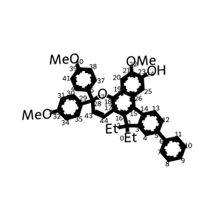 CCC1(CC)c2cc(-c3ccccc3)ccc2-c2c1c1c(c3cc(OC)c(O)cc23)OC(c2ccc(OC)cc2)(c2ccc(OC)cc2)C=C1